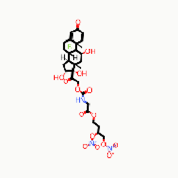 C[C@]12C=CC(=O)C=C1CC[C@H]1[C@@H]3C[C@@H](O)[C@](O)(C(=O)COC(=O)NCC(=O)OCCC(CO[N+](=O)[O-])O[N+](=O)[O-])[C@@]3(C)C[C@H](O)[C@@]12F